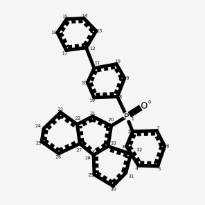 O=P(c1ccccc1)(c1ccc(-c2ccccc2)cc1)c1cc2ccccc2c2ccccc12